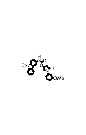 CCn1c2ccccc2c2cc(NC(=O)OC3CC(=O)N(c4cccc(OC)c4)C3)ccc21